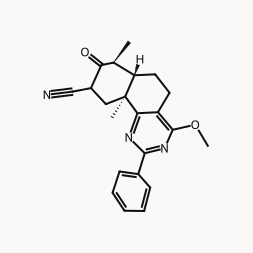 COc1nc(-c2ccccc2)nc2c1CC[C@H]1[C@H](C)C(=O)C(C#N)C[C@]21C